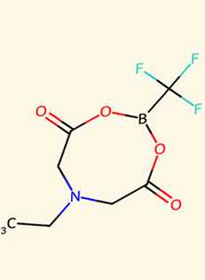 CCN1CC(=O)OB(C(F)(F)F)OC(=O)C1